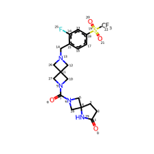 O=C1CCC2(CN(C(=O)N3CC4(CN(Cc5ccc(S(=O)(=O)C(F)(F)F)cc5F)C4)C3)C2)N1